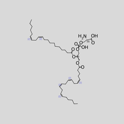 CCCCC/C=C\C/C=C\C/C=C\C/C=C\CCCC(=O)OC[C@H](COP(=O)(O)OC[C@H](N)C(=O)O)OC(=O)CCCCCCCCC/C=C\C/C=C\CCCCC